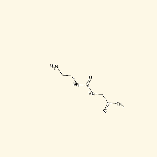 CC(=O)CNC(=O)NCCN